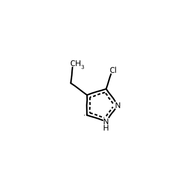 CCc1[c][nH]nc1Cl